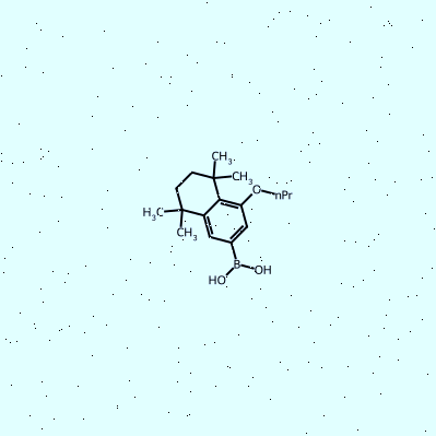 CCCOc1cc(B(O)O)cc2c1C(C)(C)CCC2(C)C